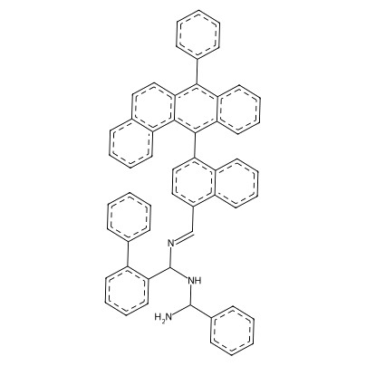 NC(NC(/N=C/c1ccc(-c2c3ccccc3c(-c3ccccc3)c3ccc4ccccc4c23)c2ccccc12)c1ccccc1-c1ccccc1)c1ccccc1